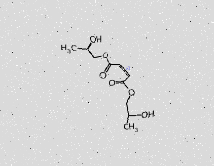 CC(O)COC(=O)/C=C\C(=O)OCC(C)O